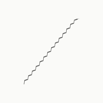 [CH]=C/C=C/C=C/C=C/C=C/C=C/C=C/C=C/C=C/C=C/C=C/C=C/C=C/C=C/C